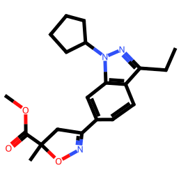 CCc1nn(C2CCCC2)c2cc(C3=NOC(C)(C(=O)OC)C3)ccc12